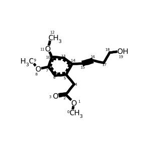 COC(=O)Cc1cc(OC)c(OC)cc1C#CCCO